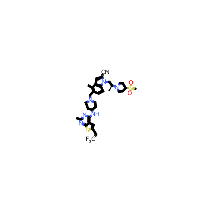 Cc1nc(NC2CCN(Cc3ccc4c(cc(C#N)n4C[C@H](C)N4CCC(S(C)(=O)=O)CC4)c3C)CC2)c2cc(CC(F)(F)F)sc2n1